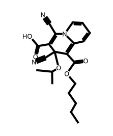 CCCCCOC(=O)C1=C2C=CC=CN2C(C#N)=C(C(=O)O)C1(C#N)OC(C)C